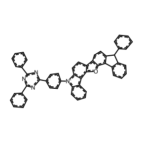 c1ccc(-c2nc(-c3ccccc3)nc(-c3ccc(-n4c5ccccc5c5c6oc7c8c(ccc7c6ccc54)C(c4ccccc4)c4ccccc4-8)cc3)n2)cc1